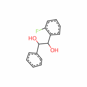 OC(c1ccccc1)C(O)c1ccccc1F